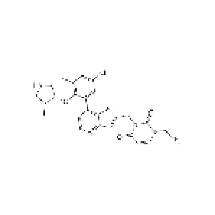 Cc1cc(Cl)cc(-c2ccnc3cc(Cn4c(=O)ccn(CC(F)(F)F)c4=O)sc23)c1O[C@H]1CNC[C@@H]1C